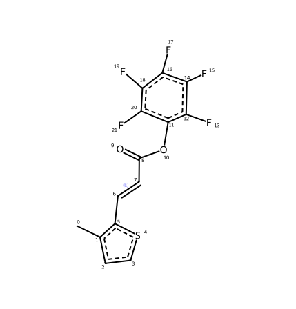 Cc1ccsc1/C=C/C(=O)Oc1c(F)c(F)c(F)c(F)c1F